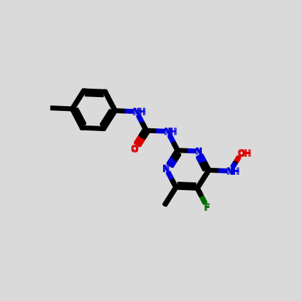 Cc1ccc(NC(=O)Nc2nc(C)c(F)c(NO)n2)cc1